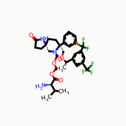 CC(C)[C@@H](N)C(=O)OCOC(=O)N1C[C@@]2(CCC(=O)N2)CC[C@@]1(CO[C@H](C)c1cc(C(F)(F)F)cc(C(F)(F)F)c1)c1ccccc1